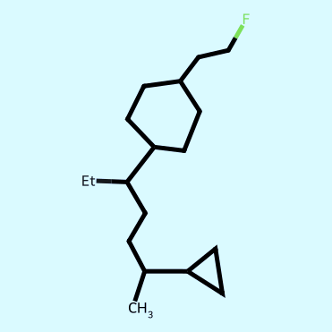 CCC(CCC(C)C1CC1)C1CCC(CCF)CC1